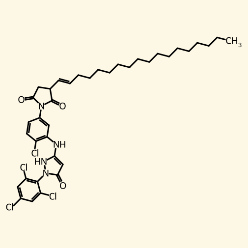 CCCCCCCCCCCCCCCCC=CC1CC(=O)N(c2ccc(Cl)c(Nc3cc(=O)n(-c4c(Cl)cc(Cl)cc4Cl)[nH]3)c2)C1=O